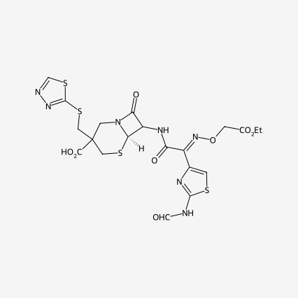 CCOC(=O)CON=C(C(=O)NC1C(=O)N2CC(CSc3nncs3)(C(=O)O)CS[C@H]12)c1csc(NC=O)n1